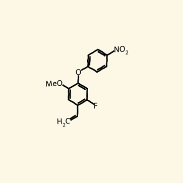 C=Cc1cc(OC)c(Oc2ccc([N+](=O)[O-])cc2)cc1F